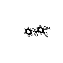 COc1cc(C(=O)Oc2ccccc2)ccc1O